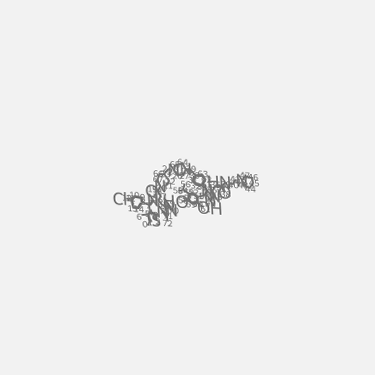 Cc1sc2c(c1C)C(c1ccc(Cl)cc1)=N[C@@H](CC(=O)N1CCC(CN3CCN(Cc4ccc(-n5c(CC(=O)NCCN6CCCCC6)nnc5-c5cc(C(C)C)c(O)cc5O)cc4)CC3)CC1)c1nnc(C)n1-2